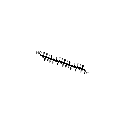 OCC(F)(F)C(F)(F)C(F)(F)C(F)(F)C(F)(F)C(F)(F)C(F)(F)C(F)(F)C(F)(F)C(F)(F)C(F)(F)C(F)(F)C(F)(F)C(F)(F)C(F)(F)C(F)(F)CO